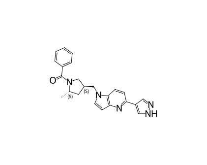 C[C@H]1C[C@H](Cn2ccc3nc(-c4cn[nH]c4)ccc32)CN1C(=O)c1ccccc1